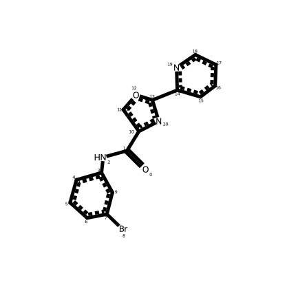 O=C(Nc1cccc(Br)c1)c1coc(-c2ccccn2)n1